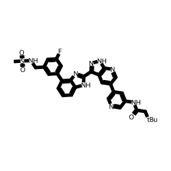 CC(C)(C)CC(=O)Nc1cncc(-c2cnc3[nH]nc(-c4nc5c(-c6cc(F)cc(CNS(C)(=O)=O)c6)cccc5[nH]4)c3c2)c1